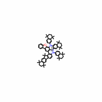 CC1(C)CCC(C)(C)c2cc(Nc3ccc4c(c3-c3cc5c(oc6ccccc65)c5c3Bc3cc6c(cc3N5c3ccc5c(c3)C(C)(C)CCC5(C)C)C(C)(C)CCC6(C)C)C(C)(C)c3cc5c(cc3-4)C(C)(C)CCC5(C)C)ccc21